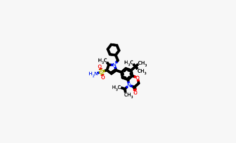 CC1C(S(N)(=O)=O)C=C(c2cc3c(c(C(C)(C)C)c2)OCC(=O)N3C(C)C)N1CC1CCCCC1